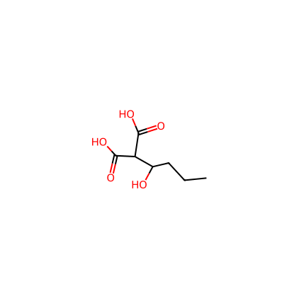 CCCC(O)C(C(=O)O)C(=O)O